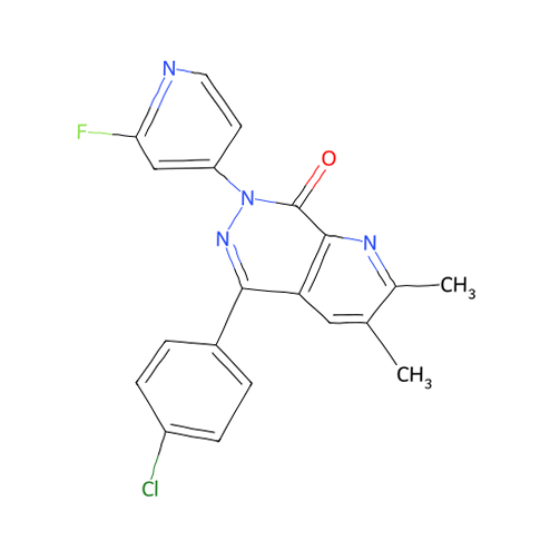 Cc1cc2c(-c3ccc(Cl)cc3)nn(-c3ccnc(F)c3)c(=O)c2nc1C